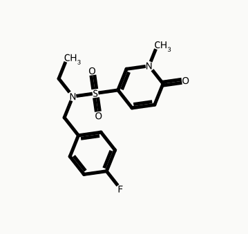 CCN(Cc1ccc(F)cc1)S(=O)(=O)c1ccc(=O)n(C)c1